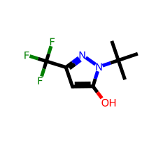 CC(C)(C)n1nc(C(F)(F)F)cc1O